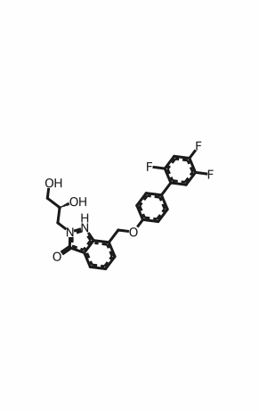 O=c1c2cccc(COc3ccc(-c4cc(F)c(F)cc4F)cc3)c2[nH]n1C[C@H](O)CO